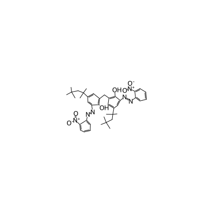 CC(C)(C)CC(C)(C)c1cc(Cc2cc(C(C)(C)CC(C)(C)C)cc(N=Nc3ccccc3[N+](=O)[O-])c2O)c(O)c(N=Nc2ccccc2[N+](=O)[O-])c1